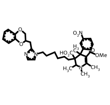 COC(=O)C1=C(C)N(C)C(C)C(CCCCCCn2ccnc2CC2COc3ccccc3O2)(C(=O)O)C1(C)c1cccc([N+](=O)[O-])c1